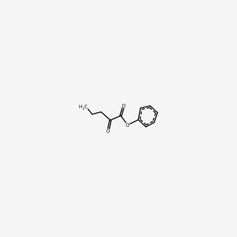 CCCC(=O)C(=O)Oc1ccccc1